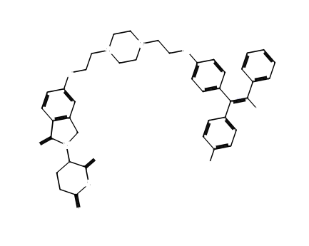 CC/C(=C(\c1ccc(O)cc1)c1ccc(OCCN2CCN(CCOc3ccc4c(c3)CN(C3CCC(=O)NC3=O)C4=O)CC2)cc1)c1ccccc1